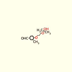 Cc1cc(C=O)ccc1OCCCOC(C)(C)O